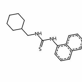 S=C(NCC1CCCCC1)Nc1cccc2ccccc12